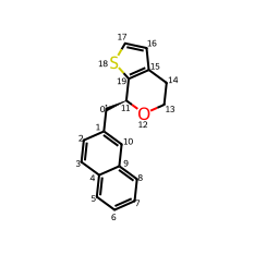 [CH](c1ccc2ccccc2c1)[C@@H]1OCCc2ccsc21